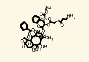 CC(=O)O[C@@]12CO[C@@H]1C[C@H](O)[C@@]1(C)C(=O)[C@H](O)C3=C(C)[C@@H](OC(=O)[C@H](OC(=O)COC(=O)CCN)[C@@H](NC(=O)OC(C)(C)C)c4ccccc4)C[C@@](O)([C@@H](OC(=O)c4ccccc4)[C@H]21)C3(C)C